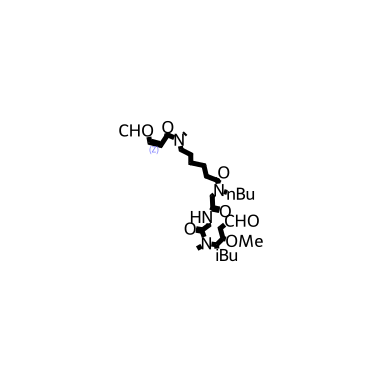 CCCCN(CC(=O)NCC(=O)N(C)C(C(C)CC)C(CC=O)OC)C(=O)CCCCCN(C)C(=O)/C=C\C=O